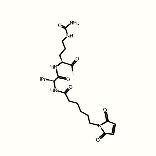 CC(C)[C@H](NC(=O)CCCCCN1C(=O)C=CC1=O)C(=O)N[C@@H](CCCNC(N)=O)C(=O)I